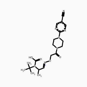 CC(/C=N/OCC(=O)N1CCN(c2ncc(C#N)cn2)CC1)N(C(=O)O)C(C)(C)C